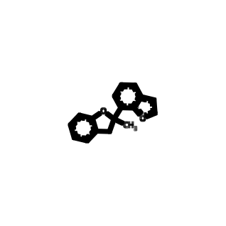 CC1(c2cccc3ccoc23)Cc2ccc[c]c2O1